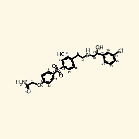 Cl.NC(=O)COc1ccc(S(=O)(=O)c2ccc(CCNCC(O)c3cccc(Cl)c3)cc2)cc1